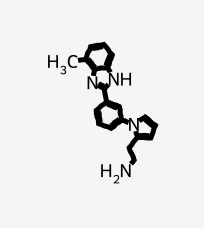 Cc1cccc2[nH]c(-c3cccc(-n4cccc4CCN)c3)nc12